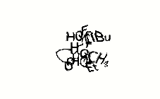 CCCCC(F)(F)[C@H](O)CC[C@@H]1[C@H]2CCCCCCC(=O)O[C@H]2C[C@H]1OC(C)OCC